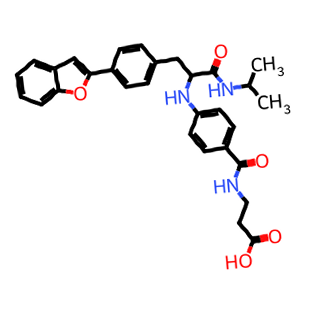 CC(C)NC(=O)C(Cc1ccc(-c2cc3ccccc3o2)cc1)Nc1ccc(C(=O)NCCC(=O)O)cc1